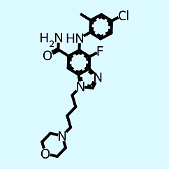 Cc1cc(Cl)ccc1Nc1c(C(N)=O)cc2c(ncn2CCCCN2CCOCC2)c1F